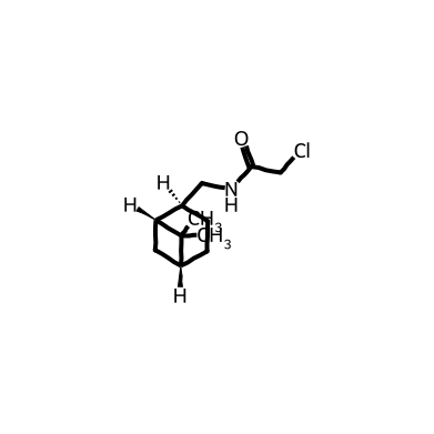 CC1(C)[C@@H]2CC[C@H](CNC(=O)CCl)[C@H]1C2